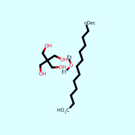 CCCCCCCCCCCCCCCCCCCCCC(=O)O.CCOCC.OCC(CO)(CO)CO